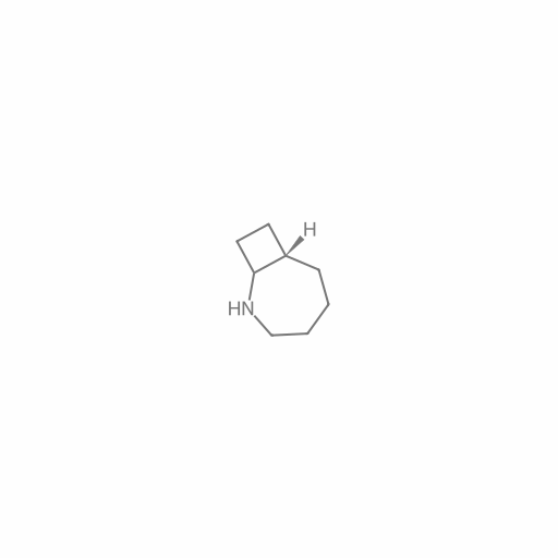 C1CC[C@H]2CCC2NC1